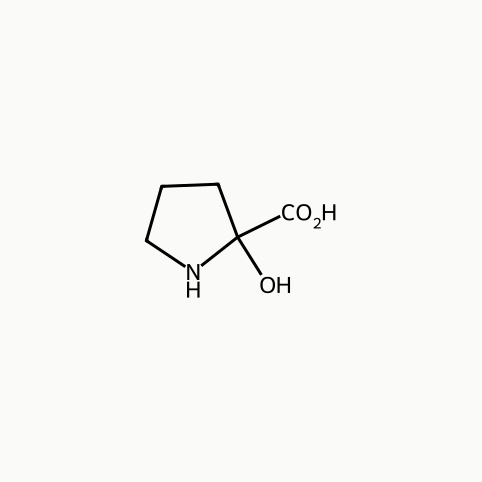 O=C(O)C1(O)CCCN1